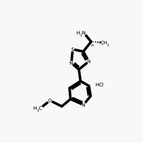 COCc1cc(-c2nsc([C@@H](C)N)n2)ccn1.Cl